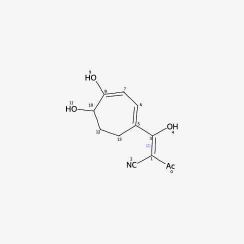 CC(=O)/C(C#N)=C(\O)C1=CC=C(O)C(O)CC1